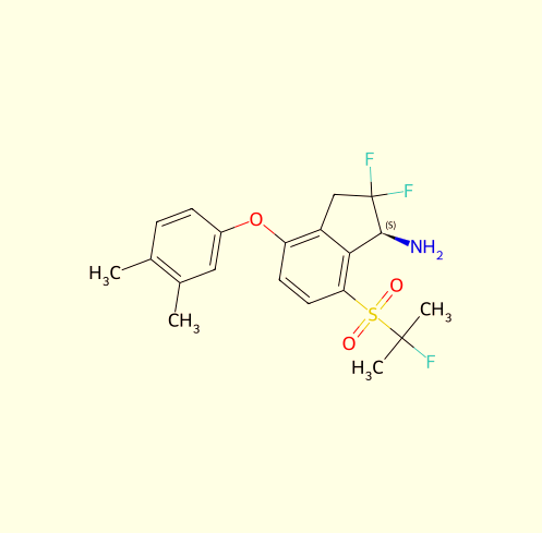 Cc1ccc(Oc2ccc(S(=O)(=O)C(C)(C)F)c3c2CC(F)(F)[C@H]3N)cc1C